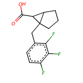 O=C(O)C1C2CCCC21Cc1ccc(F)c(F)c1F